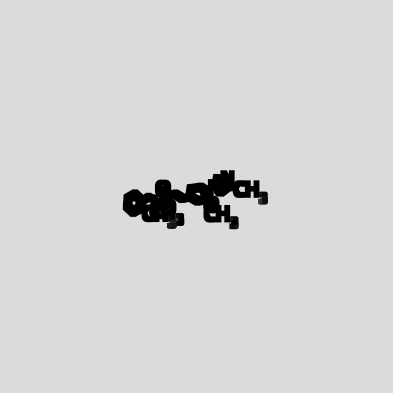 COc1cc(/C=C/S(=O)(=O)N(C)Cc2ccccc2C)ccc1-n1cnc(C)c1